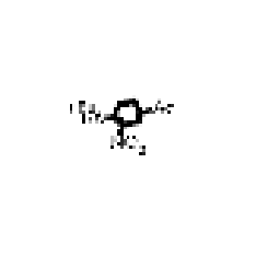 CCCCNc1ccc(C(C)=O)cc1[N+](=O)[O-]